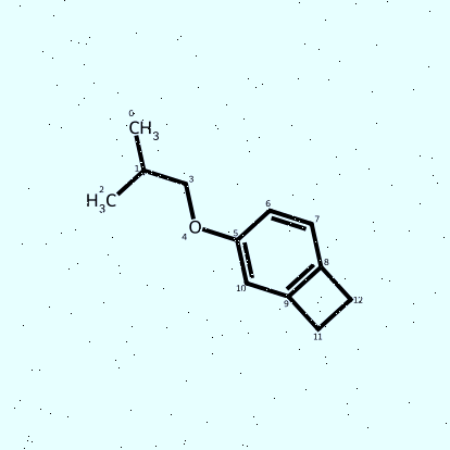 C[C](C)COc1ccc2c(c1)CC2